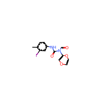 Cc1ccc(NC(=O)N(C=O)C2=COC=CO2)cc1I